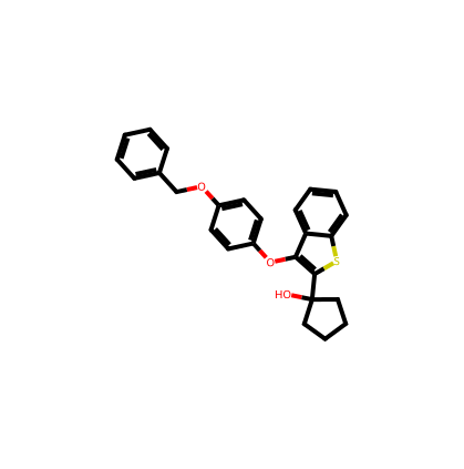 OC1(c2sc3ccccc3c2Oc2ccc(OCc3ccccc3)cc2)CCCC1